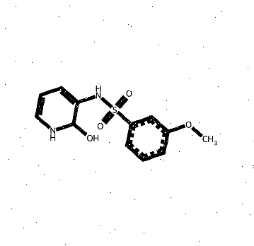 COc1cccc(S(=O)(=O)NC2=CC=CNC2O)c1